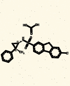 C[C@]1(c2ccccc2)C[C@@H]1NS(=O)(=O)c1ccc2c(c1)Cc1cc(Cl)ccc1-2.O=C(O)O